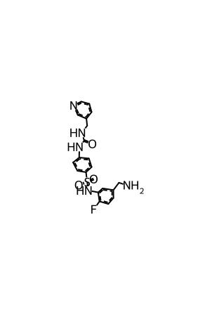 NCc1ccc(F)c(NS(=O)(=O)c2ccc(NC(=O)NCc3cccnc3)cc2)c1